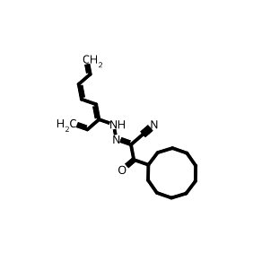 C=C/C=C\C=C(/C=C)N/N=C(\C#N)C(=O)C1CCCCCCCCC1